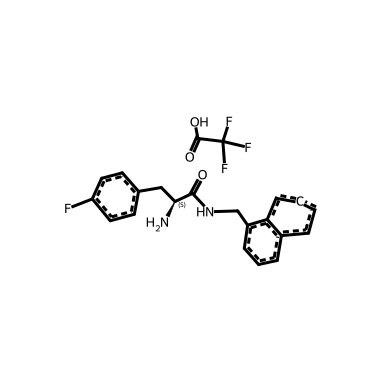 N[C@@H](Cc1ccc(F)cc1)C(=O)NCc1cccc2ccccc12.O=C(O)C(F)(F)F